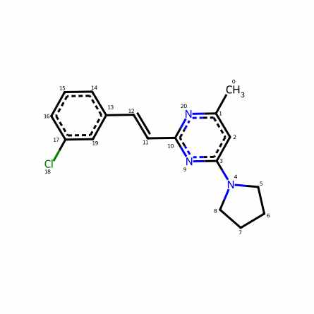 Cc1cc(N2CCCC2)nc(C=Cc2cccc(Cl)c2)n1